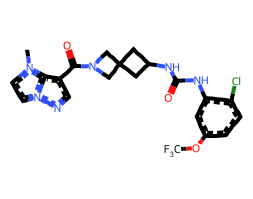 Cn1ccn2ncc(C(=O)N3CC4(CC(NC(=O)Nc5cc(OC(F)(F)F)ccc5Cl)C4)C3)c12